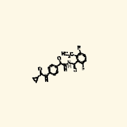 O=C(NNC(=O)c1c(F)ccc(F)c1C(=O)O)c1ccc(NC(=O)C2CC2)cc1